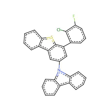 Fc1cccc(-c2cc(-n3c4ccccc4c4ccccc43)cc3c2sc2ccccc23)c1Cl